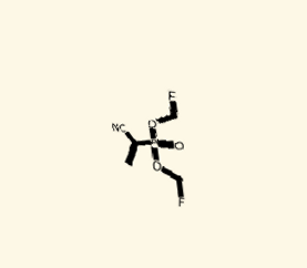 C=C(C#N)P(=O)(OCF)OCF